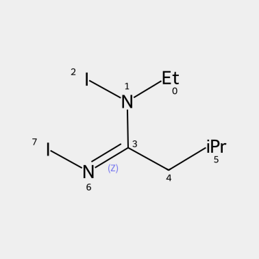 CCN(I)/C(CC(C)C)=N\I